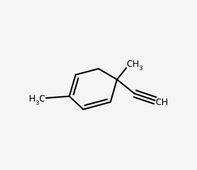 C#CC1(C)C=CC(C)=CC1